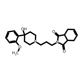 COc1ccccc1C1(O)CCN(CCCN2C(=O)C3CC=CCC3C2=O)CC1